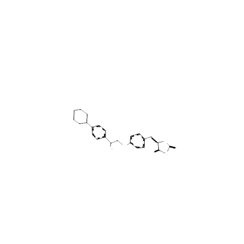 O=C1NC(=S)SC1=Cc1ccc(OCC(O)c2ccc(C3CCCCC3)cc2)cc1